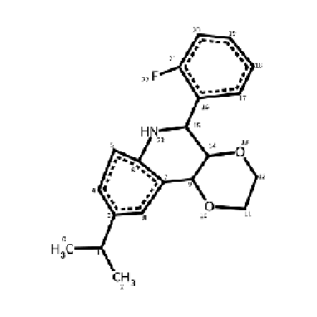 CC(C)c1ccc2c(c1)C1OCCOC1C(c1ccccc1F)N2